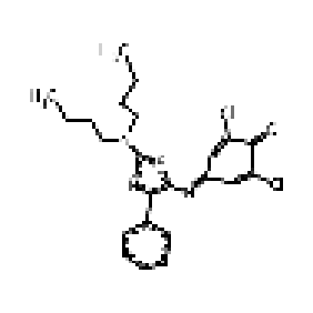 CCCCN(CCCC)c1nc(-c2ccccc2)c(N=C2C=C(Cl)C(=O)C(Cl)=C2)s1